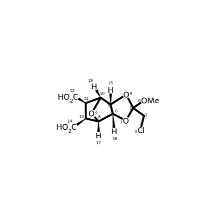 COC1(CCl)O[C@@H]2[C@H](O1)[C@H]1O[C@@H]2[C@H](C(=O)O)[C@@H]1C(=O)O